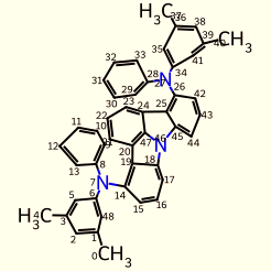 Cc1cc(C)cc(N(c2ccccc2)c2cccc3c2c2cccc4c5c(N(c6ccccc6)c6cc(C)cc(C)c6)cccc5n3c24)c1